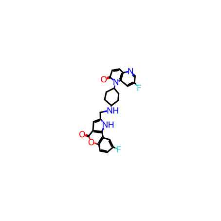 O=c1oc2ccc(F)cc2c2[nH]c(CN[C@H]3CC[C@H](n4c(=O)ccc5ncc(F)cc54)CC3)cc12